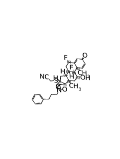 C[C@]12C=CC(=O)C=C1[C@@H](F)C[C@H]1[C@@H]3C[C@H]4CN(CCCc5ccccc5)O[C@@]4(C(=O)SCC#N)[C@@]3(C)C[C@H](O)[C@@]12F